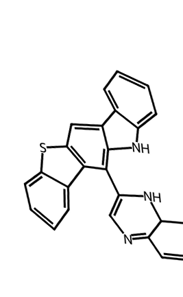 C1=CC2=NC=C(c3c4[nH]c5ccccc5c4cc4sc5ccccc5c34)NC2C=C1